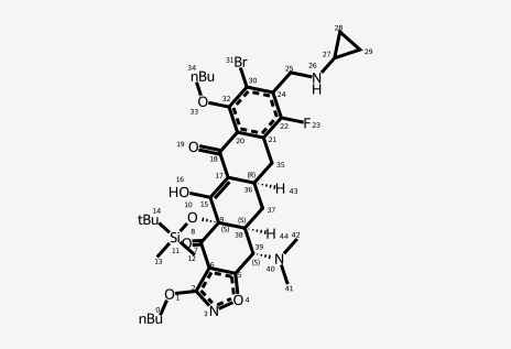 CCCCOc1noc2c1C(=O)[C@@]1(O[Si](C)(C)C(C)(C)C)C(O)=C3C(=O)c4c(c(F)c(CNC5CC5)c(Br)c4OCCCC)C[C@H]3C[C@H]1[C@@H]2N(C)C